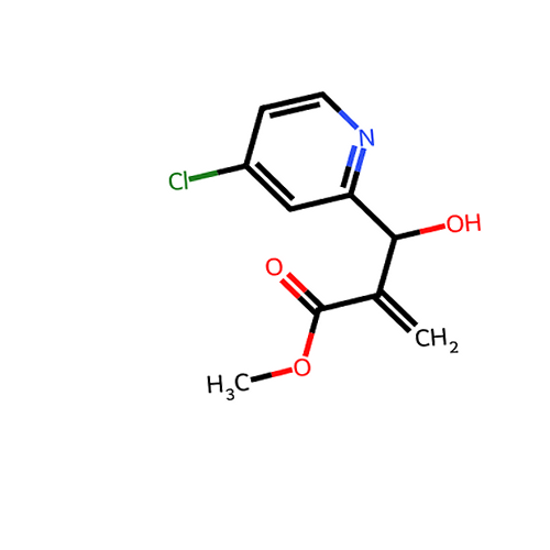 C=C(C(=O)OC)C(O)c1cc(Cl)ccn1